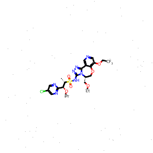 CCOC[C@H]1COc2c(OCC(F)(F)F)cncc2-c2nnc(NS(=O)(=O)[C@@H](C)[C@@H](OC(C)C)c3ncc(Cl)cn3)n21